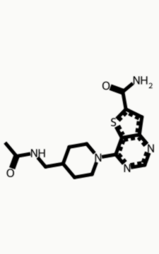 CC(=O)NCC1CCN(c2ncnc3cc(C(N)=O)sc23)CC1